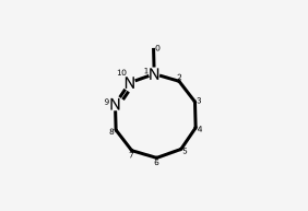 CN1CCCCCCCN=N1